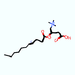 CCCCCC/C=C/CCC(=O)OC(CC(=O)O)C[N+](C)(C)C